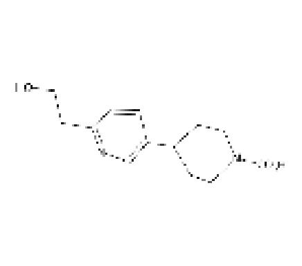 O=C(O)N1CCC(c2ccc(CCO)nc2)CC1